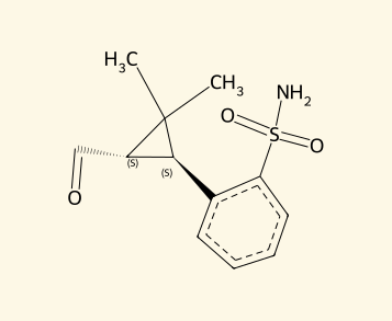 CC1(C)[C@@H](C=O)[C@@H]1c1ccccc1S(N)(=O)=O